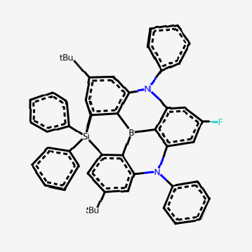 CC(C)(C)c1cc2c3c(c1)[Si](c1ccccc1)(c1ccccc1)c1cc(C(C)(C)C)cc4c1B3c1c(cc(F)cc1N4c1ccccc1)N2c1ccccc1